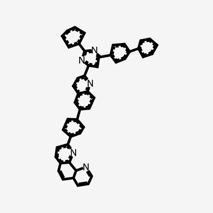 C1=CC2C=Cc3ccc(-c4ccc(-c5ccc6nc(-c7cc(-c8ccc(-c9ccccc9)cc8)nc(-c8ccccc8)n7)ccc6c5)cc4)nc3C2N=C1